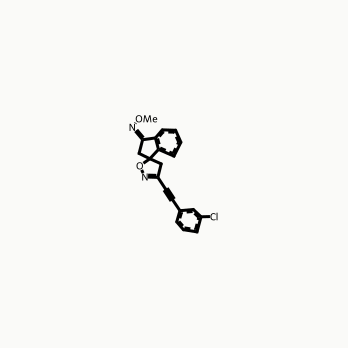 CO/N=C1/CC2(CC(C#Cc3cccc(Cl)c3)=NO2)c2ccccc21